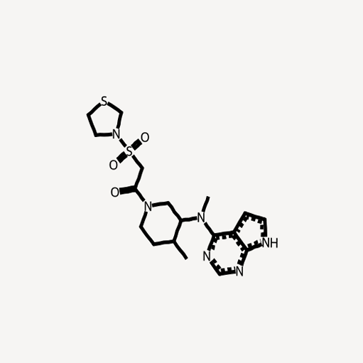 CC1CCN(C(=O)CS(=O)(=O)N2CCSC2)CC1N(C)c1ncnc2[nH]ccc12